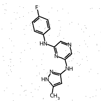 Cc1cc(Nc2cncc(Nc3ccc(F)cc3)n2)n[nH]1